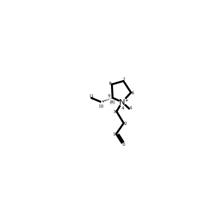 C=CCC[N+]1(C)CCC[C@H]1CC